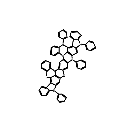 c1ccc(N2c3cc4c(cc3B3c5ccccc5N(c5ccccc5)c5c3c2cc2c5c3ccccc3n2-c2ccccc2)B2c3ccccc3Sc3c2c(cc2c3c3ccccc3n2-c2ccccc2)S4)cc1